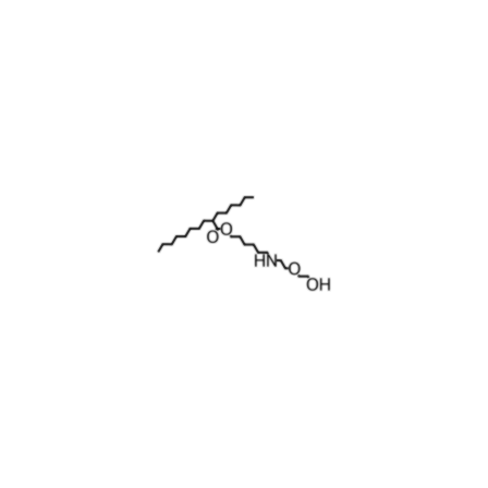 CCCCCCCCC(CCCCCC)C(=O)OCCCCCCNCCOCCO